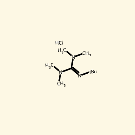 CN(C)C(=NC(C)(C)C)N(C)C.Cl